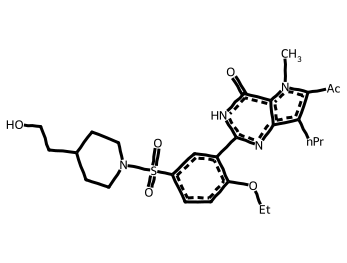 CCCc1c(C(C)=O)n(C)c2c(=O)[nH]c(-c3cc(S(=O)(=O)N4CCC(CCO)CC4)ccc3OCC)nc12